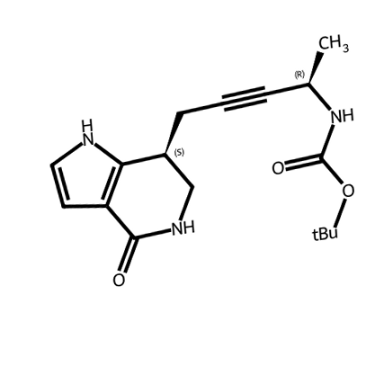 C[C@H](C#CC[C@H]1CNC(=O)c2cc[nH]c21)NC(=O)OC(C)(C)C